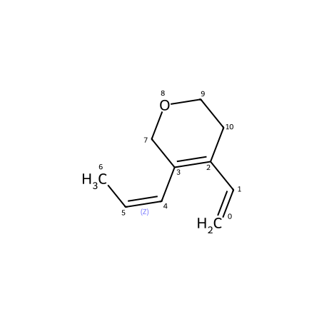 C=CC1=C(/C=C\C)COCC1